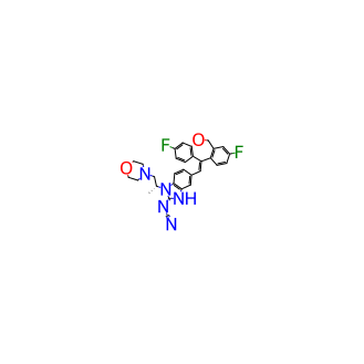 C[C@H](CN1CCOCC1)n1c(=NC#N)[nH]c2cc(C=C3c4ccc(F)cc4COc4cc(F)ccc43)ccc21